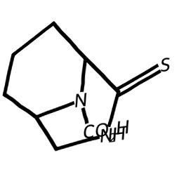 O=C(O)N1C2CCCC1C(=S)NC2